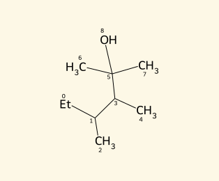 CCC(C)C(C)C(C)(C)O